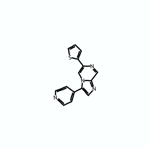 c1csc(-c2cn3c(-c4ccncc4)cnc3cn2)c1